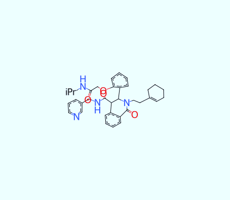 CC(C)NC(=O)COc1ccccc1C1C(C(=O)NCc2cccnc2)c2ccccc2C(=O)N1CCC1=CCCCC1